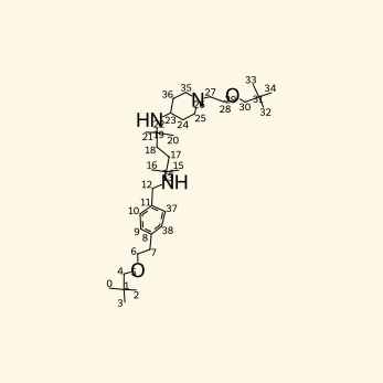 CC(C)(C)COCCc1ccc(CNC(C)(C)CCC(C)(C)NC2CCN(CCOCC(C)(C)C)CC2)cc1